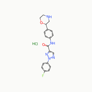 Cl.O=C(Nc1ccc(C2CNCCO2)cc1)c1cnn(-c2ccc(F)cc2)n1